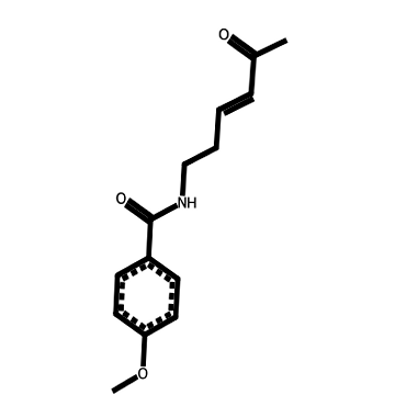 COc1ccc(C(=O)NCCC=CC(C)=O)cc1